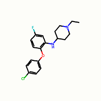 CCN1CCC(Nc2cc(F)ccc2Oc2ccc(Cl)cc2)CC1